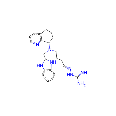 N=C(N)N/N=C/CCCN(CC1Nc2ccccc2N1)C1CCCc2cccnc21